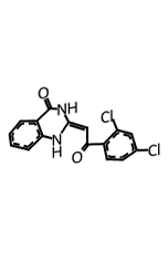 O=C(/C=C1/NC(=O)c2ccccc2N1)c1ccc(Cl)cc1Cl